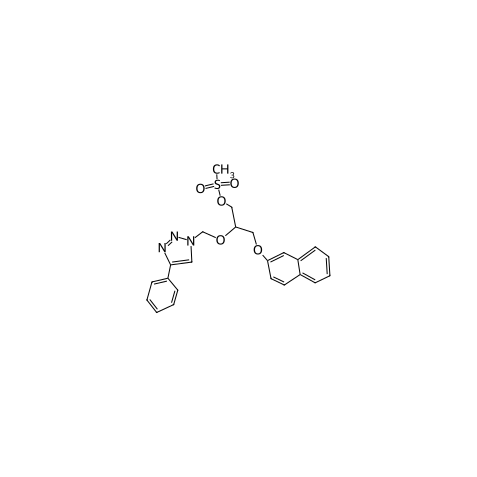 CS(=O)(=O)OCC(COc1ccc2ccccc2c1)OCn1cc(-c2ccccc2)nn1